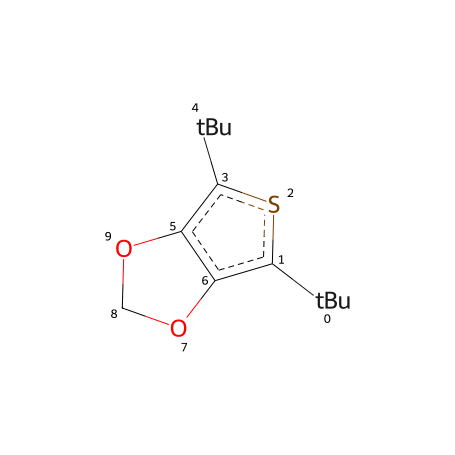 CC(C)(C)c1sc(C(C)(C)C)c2c1OCO2